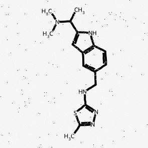 Cc1nnc(NCc2ccc3[nH]c(C(C)N(C)C)cc3c2)s1